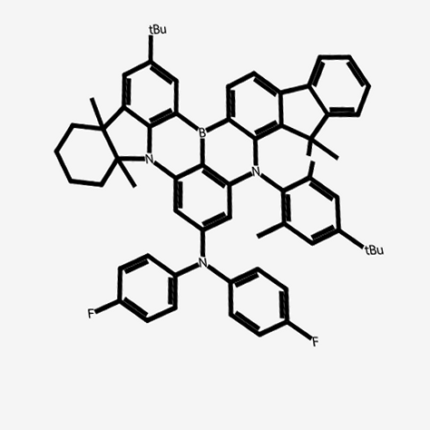 Cc1cc(C(C)(C)C)cc(C)c1N1c2cc(N(c3ccc(F)cc3)c3ccc(F)cc3)cc3c2B(c2ccc4c(c21)C(C)(C)c1ccccc1-4)c1cc(C(C)(C)C)cc2c1N3C1(C)CCCCC21C